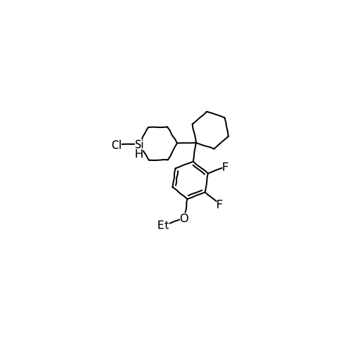 CCOc1ccc(C2(C3CC[SiH](Cl)CC3)CCCCC2)c(F)c1F